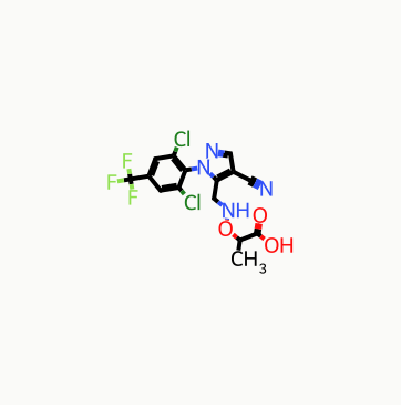 CC(ONCc1c(C#N)cnn1-c1c(Cl)cc(C(F)(F)F)cc1Cl)C(=O)O